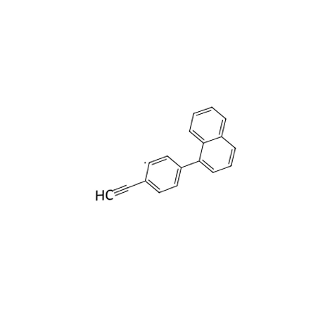 C#Cc1[c]cc(-c2cccc3ccccc23)cc1